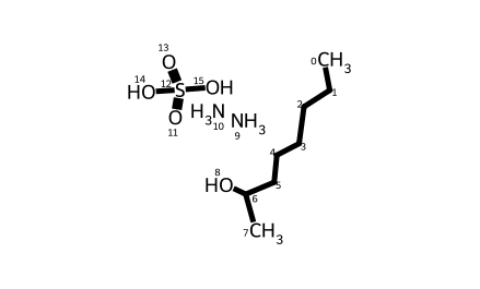 CCCCCCC(C)O.N.N.O=S(=O)(O)O